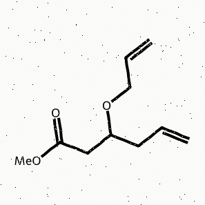 C=CCOC(CC=C)CC(=O)OC